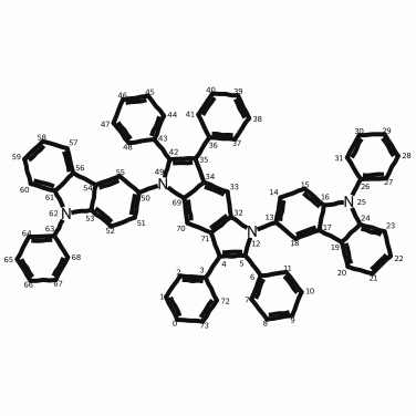 c1ccc(-c2c(-c3ccccc3)n(-c3ccc4c(c3)c3ccccc3n4-c3ccccc3)c3cc4c(-c5ccccc5)c(-c5ccccc5)n(-c5ccc6c(c5)c5ccccc5n6-c5ccccc5)c4cc23)cc1